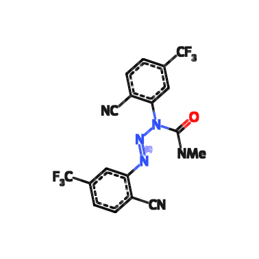 CNC(=O)N(/N=N/c1cc(C(F)(F)F)ccc1C#N)c1cc(C(F)(F)F)ccc1C#N